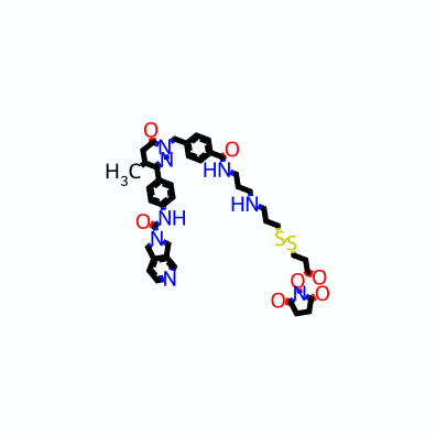 CC1CC(=O)N(Cc2ccc(C(=O)NCCCNCCCSSCCC(=O)ON3C(=O)CCC3=O)cc2)N=C1c1ccc(NC(=O)N2Cc3ccncc3C2)cc1